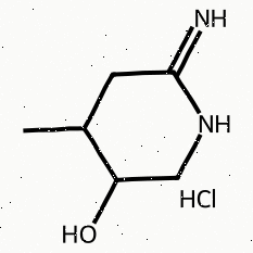 CC1CC(=N)NCC1O.Cl